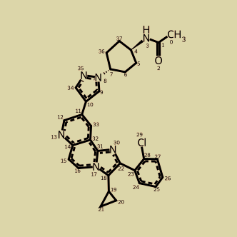 CC(=O)N[C@H]1CC[C@H](n2cc(-c3cnc4ccn5c(C6CC6)c(-c6ccccc6Cl)nc5c4c3)cn2)CC1